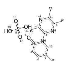 Cc1ccc(=O)n(-c2nc(C)c(C)nc2C)c1.O=S(=O)(O)O